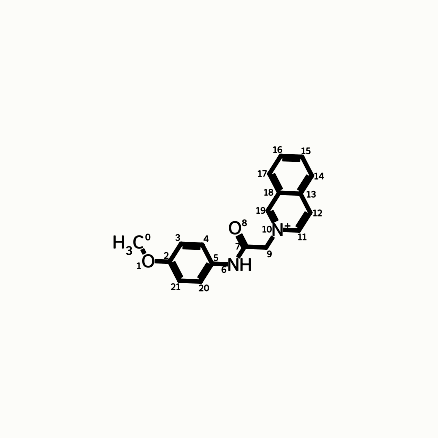 COc1ccc(NC(=O)C[n+]2ccc3ccccc3c2)cc1